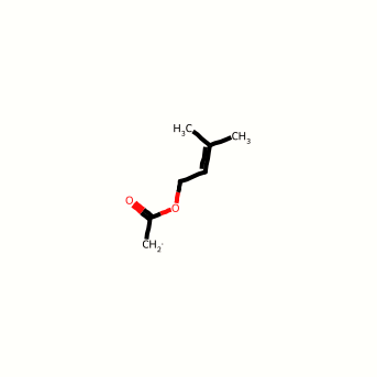 [CH2]C(=O)OCC=C(C)C